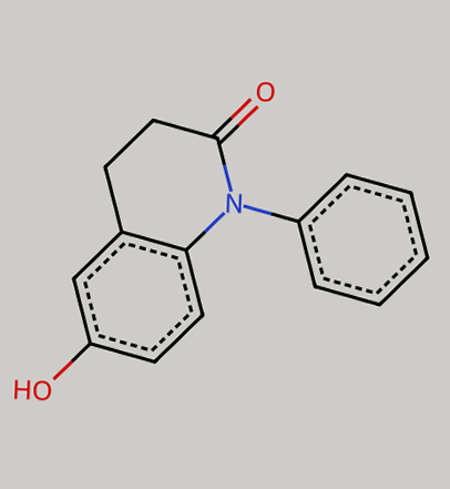 O=C1CCc2cc(O)ccc2N1c1ccccc1